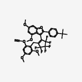 C#COc1cc(OC)cc(OC)c1CC1=C(c2c(-c3ccc(C(C)(C)C)cc3)oc3cc(OC)cc(OC)c23)C(F)(F)C(F)(F)C1(F)F